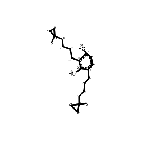 CC1(CCCCc2ccc(O)c(CCCCC3(C)CC3)c2O)CC1